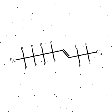 FC(F)(F)C(F)(F)C(F)(F)C=CC(F)(F)C(F)(F)C(F)(F)C(F)(F)C(F)(F)F